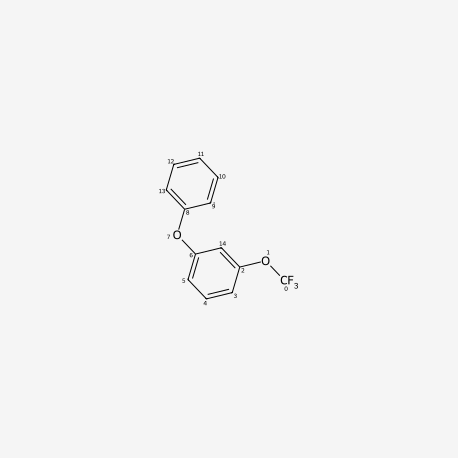 FC(F)(F)Oc1cccc(Oc2[c]cccc2)c1